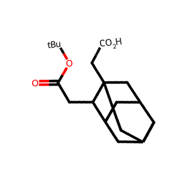 CC(C)(C)OC(=O)CC1C2CC3CC(C2)CC1(CC(=O)O)C3